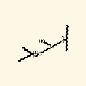 CCCCCCCCC(CCCCCC)C(=O)OCCCCCCN(CCCCO)CCCCCCOC(=O)CN(C)C(=O)C(CCCCCC)CCCCCCCC